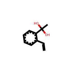 C=Cc1ccccc1C(C)(O)O